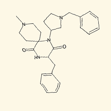 CN1CCC2(CC1)C(=O)NC(Cc1ccccc1)C(=O)N2C1CCN(Cc2ccccc2)C1